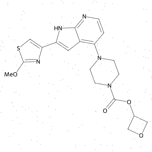 COc1nc(-c2cc3c(N4CCN(C(=O)OC5COC5)CC4)ccnc3[nH]2)cs1